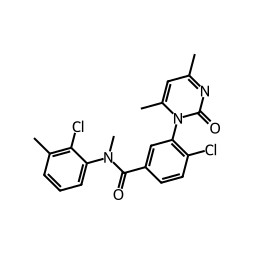 Cc1cc(C)n(-c2cc(C(=O)N(C)c3cccc(C)c3Cl)ccc2Cl)c(=O)n1